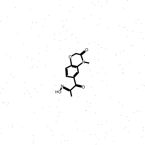 CC(=NO)C(=O)c1ccc2c(c1)N(C)C(=O)CO2